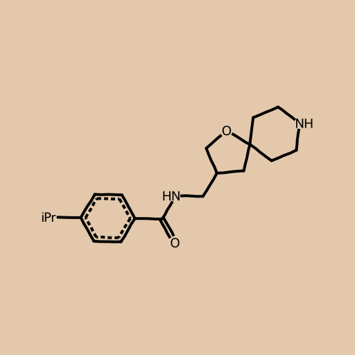 CC(C)c1ccc(C(=O)NCC2COC3(CCNCC3)C2)cc1